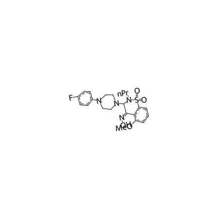 CCCN1C(N2CCN(c3ccc(F)cc3)CC2)C(=NO)c2c(OC)cccc2S1(=O)=O